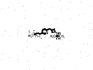 CC(C)(C)CCc1ccc(CC2CC(NC(C)(C)C)C2)nc1